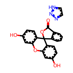 O=C1OC2(c3ccc(O)cc3Oc3cc(O)ccc32)c2ccccc21.c1c[nH]nn1